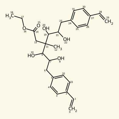 C=Cc1ccc(CC(O)C(O)C(C)(CC(=O)OCC)C(O)C(O)Cc2ccc(C=C)cc2)cc1